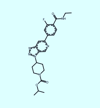 CCNC(=O)c1ccc(-c2cc3nnn(C4CCN(C(=O)OC(C)C)CC4)c3cn2)cc1F